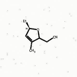 CC[C@@H]1C=C(C)C(CC#N)O1